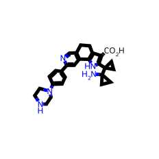 NC1(C2(c3[nH]c4c(c3C(=O)O)CCc3cnc(-c5ccc(N6CCNCC6)cc5)cc3-4)CC2)CC1